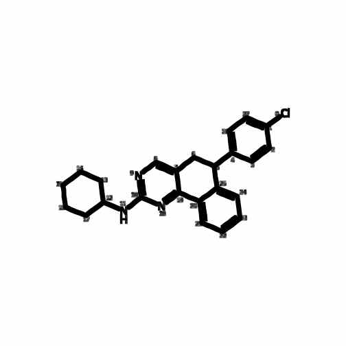 Clc1ccc(C2Cc3cnc(NC4CCCCC4)nc3-c3ccccc32)cc1